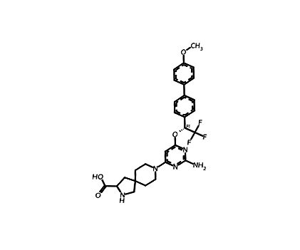 COc1ccc(-c2ccc([C@@H](Oc3cc(N4CCC5(CC4)CNC(C(=O)O)C5)nc(N)n3)C(F)(F)F)cc2)cc1